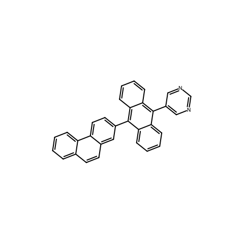 c1ccc2c(c1)ccc1cc(-c3c4ccccc4c(-c4cncnc4)c4ccccc34)ccc12